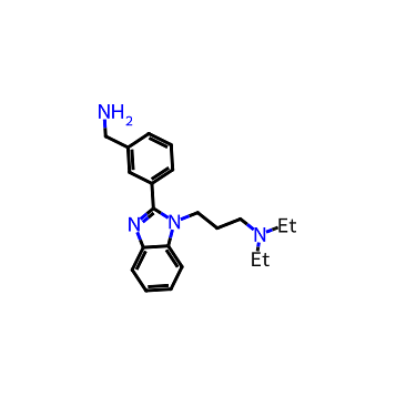 CCN(CC)CCCn1c(-c2cccc(CN)c2)nc2ccccc21